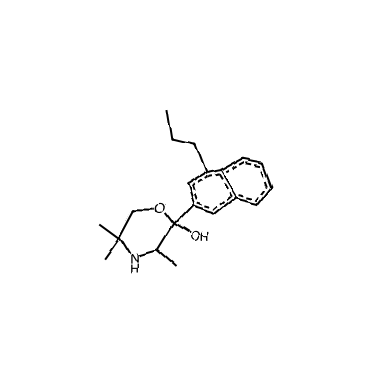 CCCc1cc(C2(O)OCC(C)(C)NC2C)cc2ccccc12